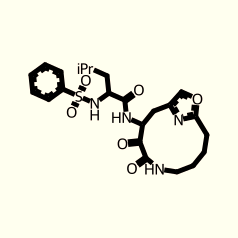 CC(C)CC(NS(=O)(=O)c1ccccc1)C(=O)NC1Cc2coc(n2)CCCCNC(=O)C1=O